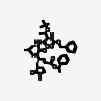 CC(C)C[C@H](NC(=O)[C@@H](NC(=O)OCc1ccccc1)C(C)OC(C)(C)C)C(=O)N[C@H](/C=C/C(=O)OC(C)c1ccccc1)CC1CCNC1=O